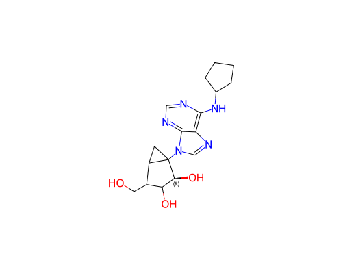 OCC1C(O)[C@H](O)C2(n3cnc4c(NC5CCCC5)ncnc43)CC12